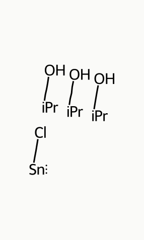 CC(C)O.CC(C)O.CC(C)O.[Cl][Sn]